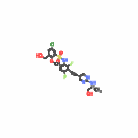 COc1c(CO)cc(Cl)cc1S(=O)(=O)Nc1ccc(F)c(C#Cc2cnc(N[C@H](C)CO)nc2)c1F